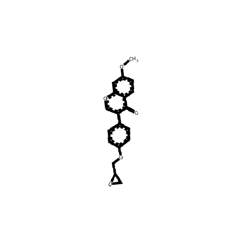 COc1ccc2c(=O)c(-c3ccc(OCC4CO4)cc3)coc2c1